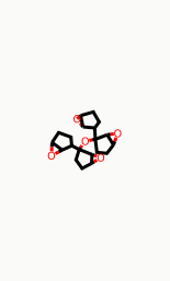 C1CC(C2(OC3(C4CCC5OC54)CCC4OC43)CCC3OC32)C2OC12